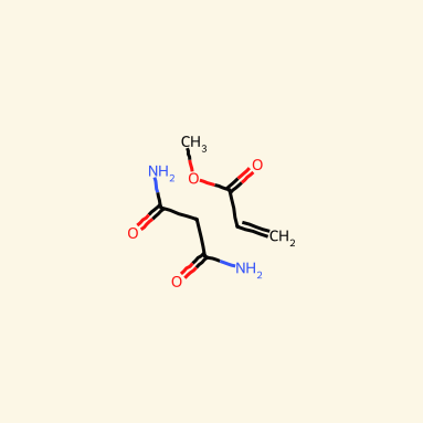 C=CC(=O)OC.NC(=O)CC(N)=O